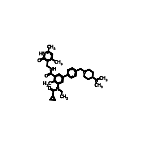 CCN(C(=O)C1CC1)c1cc(-c2ccc(CN3CCC(N(C)C)CC3)cc2)cc(C(=O)NCc2c(C)cc(C)[nH]c2=O)c1C